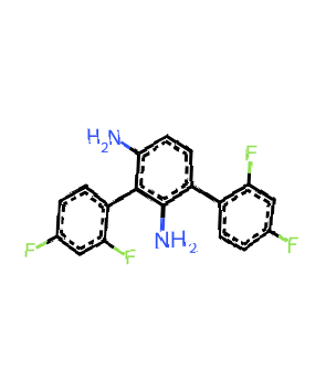 Nc1ccc(-c2ccc(F)cc2F)c(N)c1-c1ccc(F)cc1F